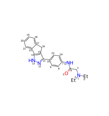 CCN(CC)CC(=O)Nc1ccc(-c2n[nH]c3c2Cc2ccccc2-3)cc1